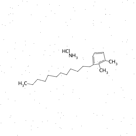 CCCCCCCCCCCCc1cccc(C)c1C.Cl.N